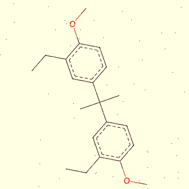 CCc1cc(C(C)(C)c2ccc(OC)c(CC)c2)ccc1OC